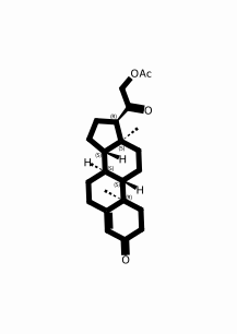 CC(=O)OCC(=O)[C@@H]1CC[C@H]2[C@@H]3CCC4=CC(=O)CC[C@]4(C)[C@H]3CC[C@]12C